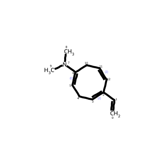 C=CC1=C/C/C=C(/N(C)C)C/C=C\1